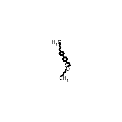 CCC/C=C/COc1ccc(-c2ccc(-c3ccc(CCCCC)cc3)cc2)s1